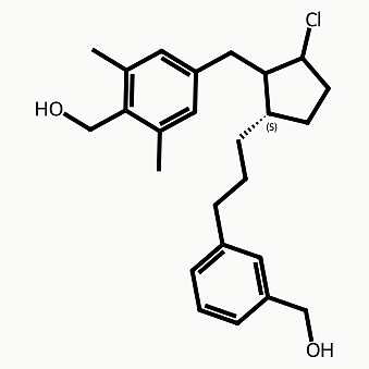 Cc1cc(CC2C(Cl)CC[C@@H]2CCCc2cccc(CO)c2)cc(C)c1CO